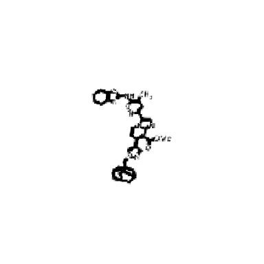 COC(=O)c1c(-c2cnn(CC34CC5CC(CC(C5)C3)C4)c2)ccn2c(-c3cc(C)c(Nc4nc5c(s4)CCCC5)nn3)cnc12